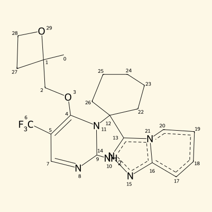 CC1(COC2=C(C(F)(F)F)C=NC(N)N2C2(c3nnc4ccccn34)CCCCC2)CCO1